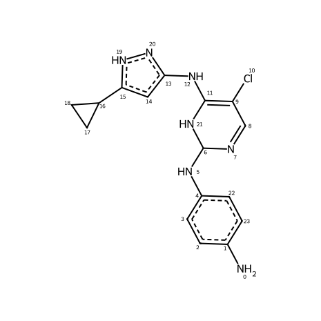 Nc1ccc(NC2N=CC(Cl)=C(Nc3cc(C4CC4)[nH]n3)N2)cc1